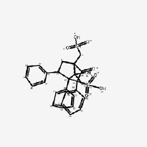 CC1(C)C2(CS(=O)(=O)O)CC(c3ccccc3)C1(c1ccccc1)C(c1ccccc1)(S(=O)(=O)O)C2=O